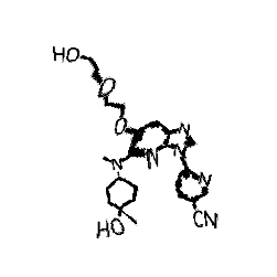 CN(c1nc2c(cc1OCCOCCO)ncn2-c1ccc(C#N)cn1)[C@H]1CC[C@@](C)(O)CC1